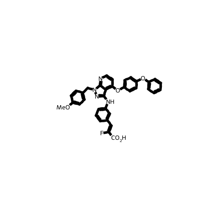 COc1ccc(Cn2nc(Nc3cccc(C=C(F)C(=O)O)c3)c3c(Oc4ccc(Oc5ccccc5)cc4)ccnc32)cc1